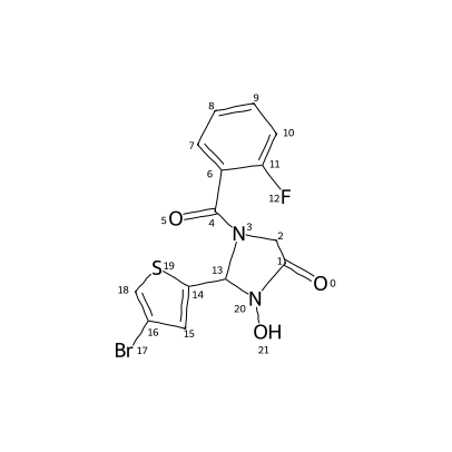 O=C1CN(C(=O)c2ccccc2F)C(c2cc(Br)cs2)N1O